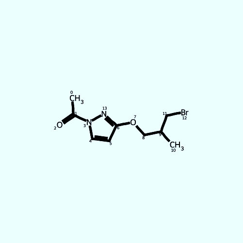 CC(=O)n1ccc(OCC(C)CBr)n1